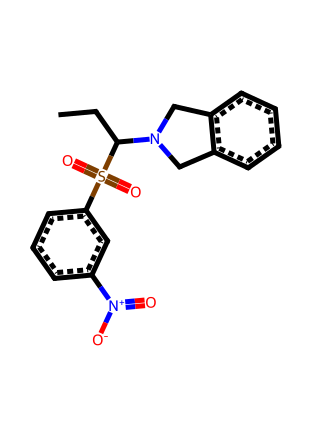 CCC(N1Cc2ccccc2C1)S(=O)(=O)c1cccc([N+](=O)[O-])c1